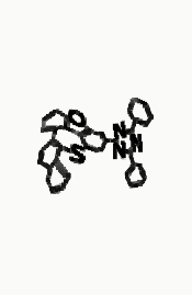 c1ccc(-c2nc(-c3ccccc3)nc(-c3cc4oc5cccc6c7ccc8ccccc8c7sc(c3)c4c56)n2)cc1